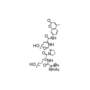 CC[C@H](C)[C@H](NC(C)=O)C(=O)N[C@@H](CCC(=O)O)C(=O)N1CCC[C@H]1C(=O)N[C@@H](CC(=O)O)C(=O)Nc1ccc2c(C)cc(=O)oc2c1